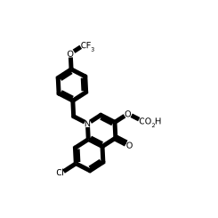 O=C(O)Oc1cn(Cc2ccc(OC(F)(F)F)cc2)c2cc(Cl)ccc2c1=O